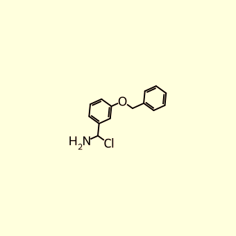 NC(Cl)c1cccc(OCc2ccccc2)c1